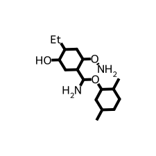 CCC1CC(ON)C(C(N)OC2CC(C)CCC2C)CC1O